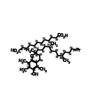 Cc1c(C)c2c(c(C)c1O)CC[C@@](C)(CCC[C@H](C)CCC[C@H](C)CCCC(C)C)O2.O=C(O)CCCCCCCCCCC(=O)O